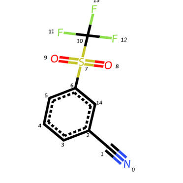 N#Cc1cccc(S(=O)(=O)C(F)(F)F)c1